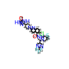 O=C(NCC(c1cnc(C(F)(F)F)nc1)N1CCC(F)(F)CC1)c1c(Cl)ccc2nc(N3CCC(c4n[nH]c(=O)[nH]4)CC3)ccc12